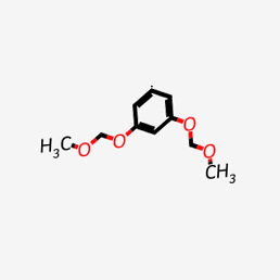 COCOc1c[c]cc(OCOC)c1